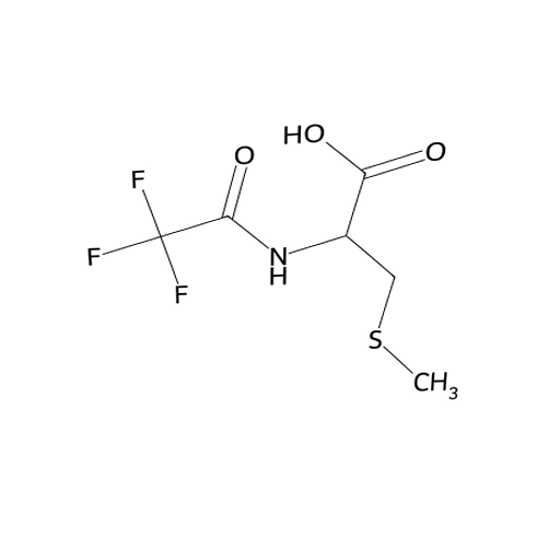 CSCC(NC(=O)C(F)(F)F)C(=O)O